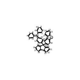 c1ccc(N(c2ccccc2)c2ccc(C3(c4ccc5oc6ccccc6c5c4)c4ccccc4-c4ccccc43)cc2)cc1